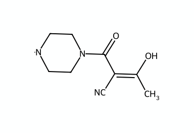 C/C(O)=C(\C#N)C(=O)N1CC[N]CC1